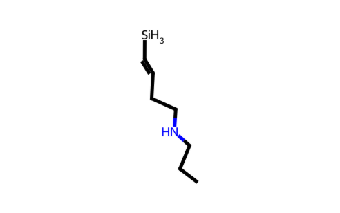 CCCNCCC=C[SiH3]